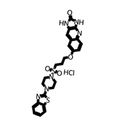 Cl.O=c1[nH]c2cc3cc(OCCCS(=O)(=O)N4CCN(c5nc6ccccc6s5)CC4)ccc3nc2[nH]1